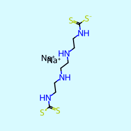 S=C([S-])NCCNCCNCCNC(=S)[S-].[Na+].[Na+]